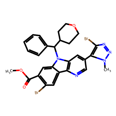 COC(=O)c1cc2c(cc1Br)c1ncc(-c3c(Br)nnn3C)cc1n2C(c1ccccc1)C1CCOCC1